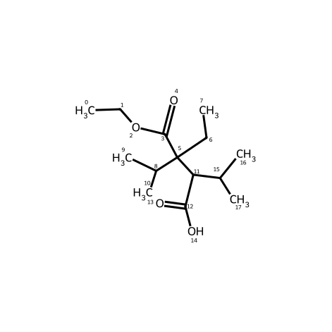 CCOC(=O)C(CC)(C(C)C)C(C(=O)O)C(C)C